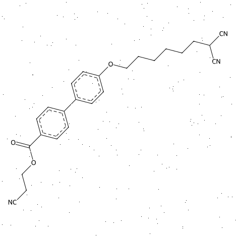 N#CCCOC(=O)c1ccc(-c2ccc(OCCCCCCC(C#N)C#N)cc2)cc1